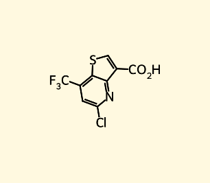 O=C(O)c1csc2c(C(F)(F)F)cc(Cl)nc12